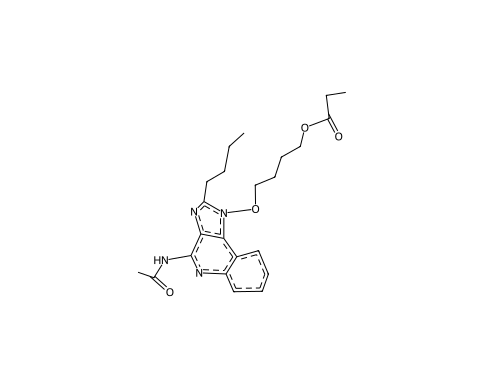 CCCCc1nc2c(NC(C)=O)nc3ccccc3c2n1OCCCCOC(=O)CC